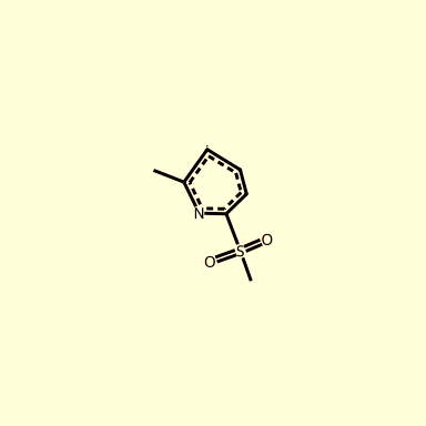 Cc1[c]ccc(S(C)(=O)=O)n1